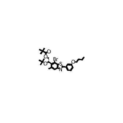 CCCCOc1cccc(-c2nc3cc(C)c([C@@H](COC(=O)C(C)(C)C)OC(C)(C)C)c(Br)c3s2)c1